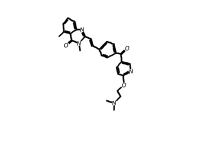 Cc1cccc2nc(/C=C/c3ccc(C(=O)c4ccc(OCCN(C)C)nc4)cc3)n(C)c(=O)c12